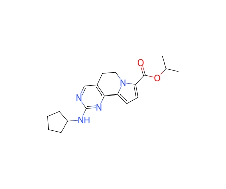 CC(C)OC(=O)c1ccc2n1CCc1cnc(NC3CCCC3)nc1-2